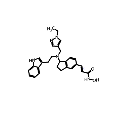 CCn1cc(CN(CCc2c[nH]c3ccccc23)C2CCc3cc(/C=C/C(=O)NO)ccc32)cn1